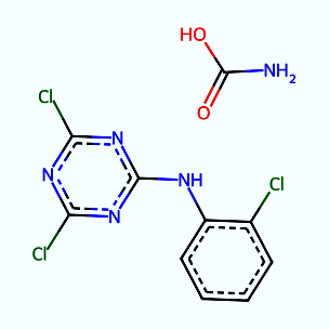 Clc1nc(Cl)nc(Nc2ccccc2Cl)n1.NC(=O)O